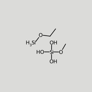 CCO[SiH3].CO[Si](O)(O)O